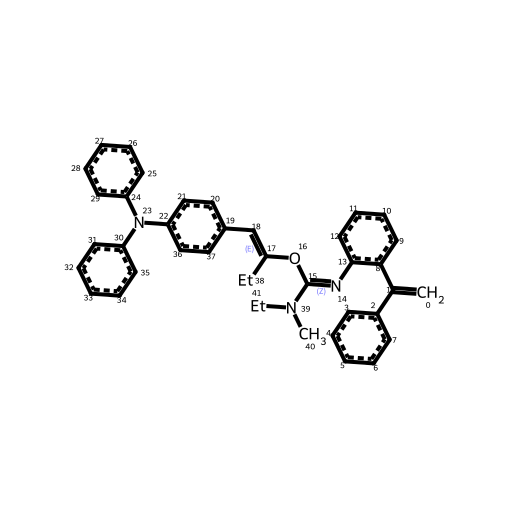 C=C(c1ccccc1)c1ccccc1/N=C(\O/C(=C/c1ccc(N(c2ccccc2)c2ccccc2)cc1)CC)N(C)CC